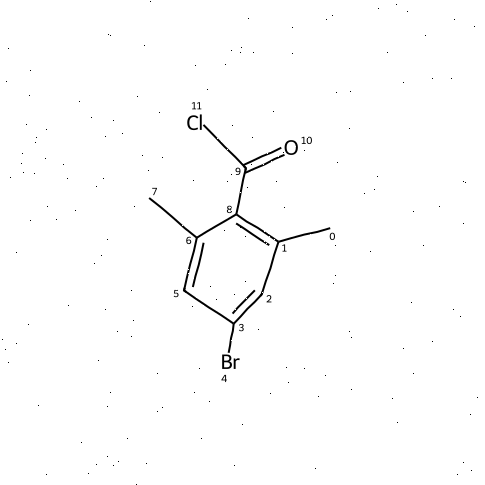 Cc1cc(Br)cc(C)c1C(=O)Cl